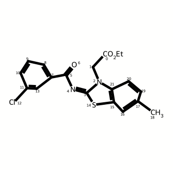 CCOC(=O)Cn1c(=NC(=O)c2cccc(Cl)c2)sc2cc(C)ccc21